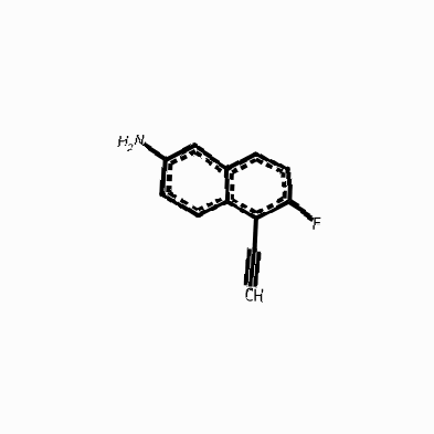 C#Cc1c(F)ccc2cc(N)ccc12